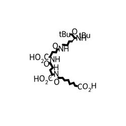 CC(C)(C)N[C@@H](CCCCNC(=O)CC[C@H](NC(=O)CC[C@H](NC(=O)CCCCCCC(=O)O)C(=O)O)C(=O)O)C(=O)C(C)(C)C